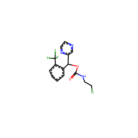 O=C(NCCCl)OC(c1cnccn1)c1ccccc1C(F)(F)F